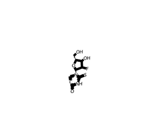 O=c1ccn([C@@H]2O[C@H](CO)C(O)C2F)c(=S)[nH]1